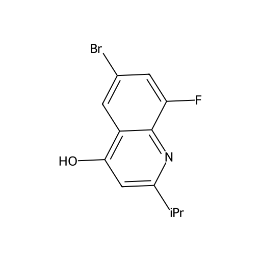 CC(C)c1cc(O)c2cc(Br)cc(F)c2n1